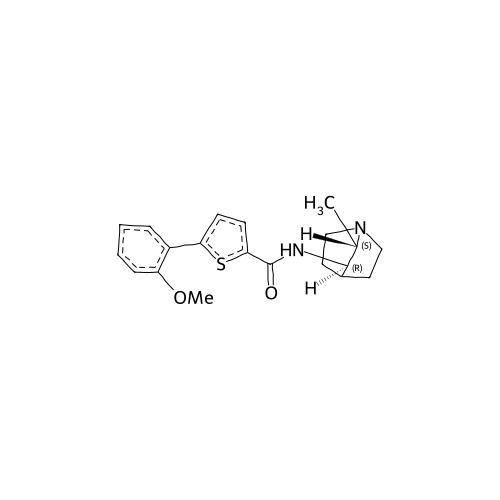 COc1ccccc1-c1ccc(C(=O)N[C@@H]2C3CCN(CC3)[C@H]2C)s1